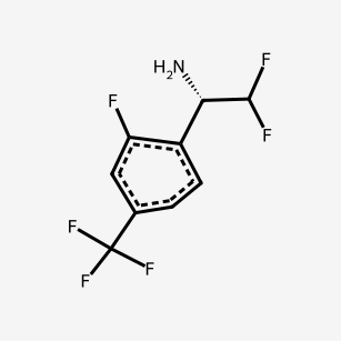 N[C@@H](c1ccc(C(F)(F)F)cc1F)C(F)F